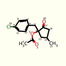 CC(=O)OC1(Cc2ccc(Cl)cc2)CC(C)CC1=O